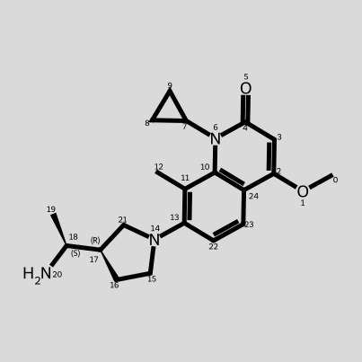 COc1cc(=O)n(C2CC2)c2c(C)c(N3CC[C@@H]([C@H](C)N)C3)ccc12